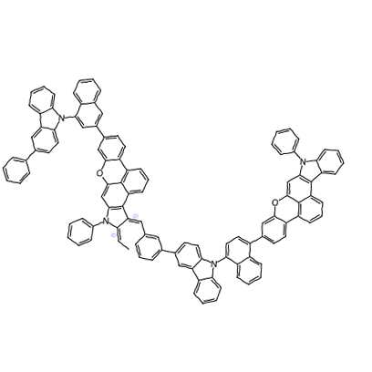 C/C=c1\c(=C/c2cccc(-c3ccc4c(c3)c3ccccc3n4-c3ccc(-c4ccc5c(c4)Oc4cc6c(c7cccc-5c47)c4ccccc4n6-c4ccccc4)c4ccccc34)c2)c2c3cccc4c3c(cc2n1-c1ccccc1)Oc1cc(-c2cc(-n3c5ccccc5c5cc(-c6ccccc6)ccc53)c3ccccc3c2)ccc1-4